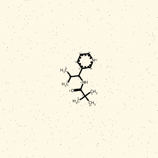 CC(C)C(NC(=O)C(C)(C)C)c1cccnc1